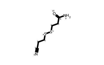 N#CCCSSCCC(N)=O